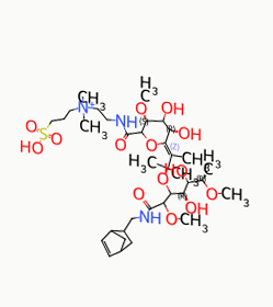 COC(C(=O)NCC1CC2C=CC1C2)C(OC(C)(C)/C(C)=C1\OC(C(=O)NCC[N+](C)(C)CCCS(=O)(=O)O)[C@@H](OC)C(O)[C@H]1O)[C@H](O)C(O)[C@@H](C)OC